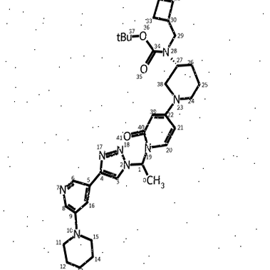 CC(n1cc(-c2cncc(N3CCCCC3)c2)nn1)n1ccc(N2CCC[C@@H](N(CC3CCC3)C(=O)OC(C)(C)C)C2)cc1=O